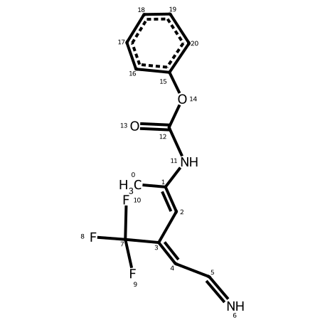 C/C(=C\C(=C/C=N)C(F)(F)F)NC(=O)Oc1ccccc1